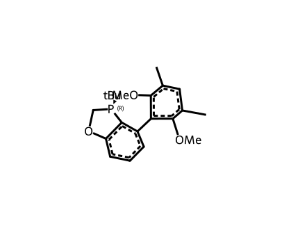 COc1c(C)cc(C)c(OC)c1-c1cccc2c1[P@](C(C)(C)C)CO2